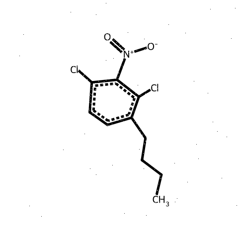 CCCCc1ccc(Cl)c([N+](=O)[O-])c1Cl